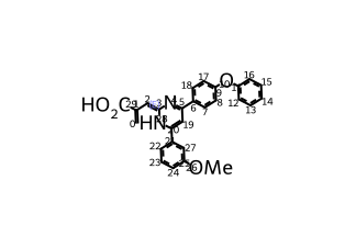 C=C(/C=C1/N=C(c2ccc(Oc3ccccc3)cc2)C=C(c2cccc(OC)c2)N1)C(=O)O